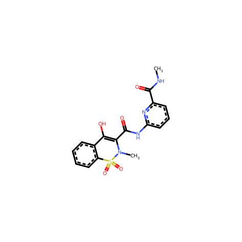 CNC(=O)c1cccc(NC(=O)C2=C(O)c3ccccc3S(=O)(=O)N2C)n1